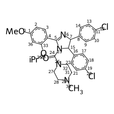 COc1ccc(C2=NC(c3ccc(Cl)cc3)C(c3ccc(Cl)cc3)N2C(=O)N2CCN(C)CC2)c(OC(C)C)c1